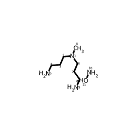 CN(CCCN)CCCN.NO